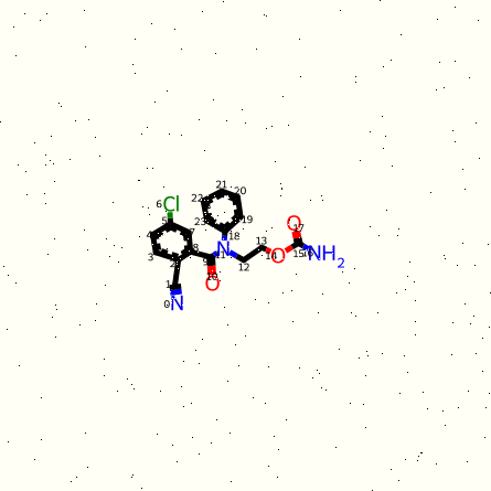 N#Cc1ccc(Cl)cc1C(=O)N(CCOC(N)=O)c1ccccc1